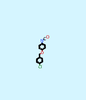 O=C=Nc1ccc(OCc2ccc(Cl)cc2)cc1